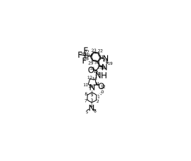 [CH2][C@@H]1C[C@H](N(C)C)CC[C@@H]1N1CCC(NC(=O)c2ncnc3ccc(C(F)(F)F)cc23)C1=O